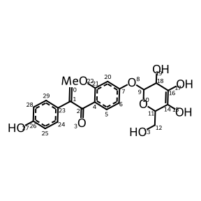 C=C(C(=O)c1ccc(OC2OC(CO)C(O)=C(O)C2O)cc1OC)c1ccc(O)cc1